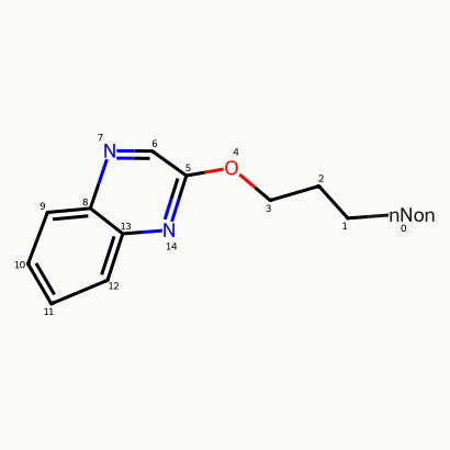 CCCCCCCCCCCCOc1cnc2ccccc2n1